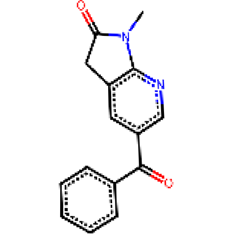 CN1C(=O)Cc2cc(C(=O)c3ccccc3)cnc21